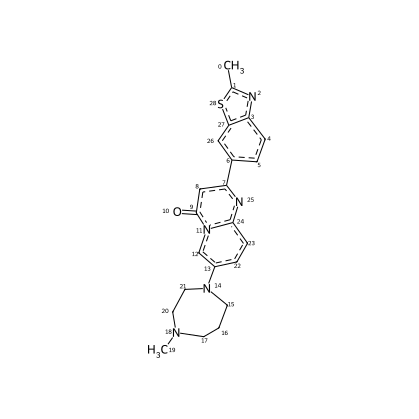 Cc1nc2ccc(-c3cc(=O)n4cc(N5CCCN(C)CC5)ccc4n3)cc2s1